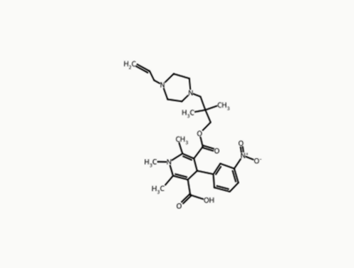 C=CCN1CCN(CC(C)(C)COC(=O)C2=C(C)N(C)C(C)=C(C(=O)O)C2c2cccc([N+](=O)[O-])c2)CC1